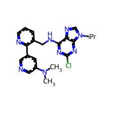 CC(C)n1cnc2c(NCc3cccnc3-c3cncc(N(C)C)c3)nc(Cl)nc21